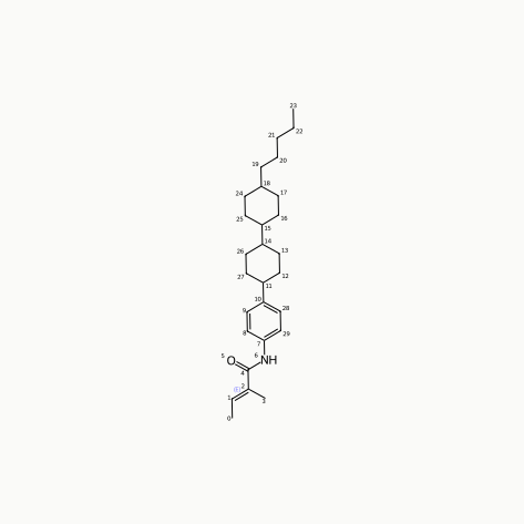 C/C=C(\C)C(=O)Nc1ccc(C2CCC(C3CCC(CCCCC)CC3)CC2)cc1